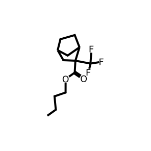 CCCCOC(=O)C1(C(F)(F)F)CC2CCC1C2